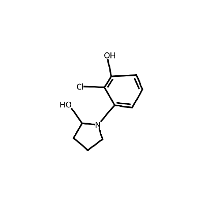 Oc1cccc(N2CCCC2O)c1Cl